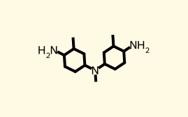 CC1CC(N(C)C2CCC(N)C(C)C2)CCC1N